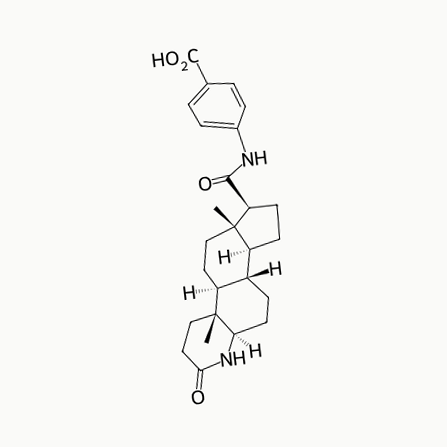 C[C@]12CCC(=O)N[C@@H]1CC[C@@H]1[C@@H]2CC[C@]2(C)[C@@H](C(=O)Nc3ccc(C(=O)O)cc3)CC[C@@H]12